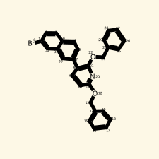 Brc1ccc2ccc(-c3ccc(OCc4ccccc4)nc3OCc3ccccc3)cc2c1